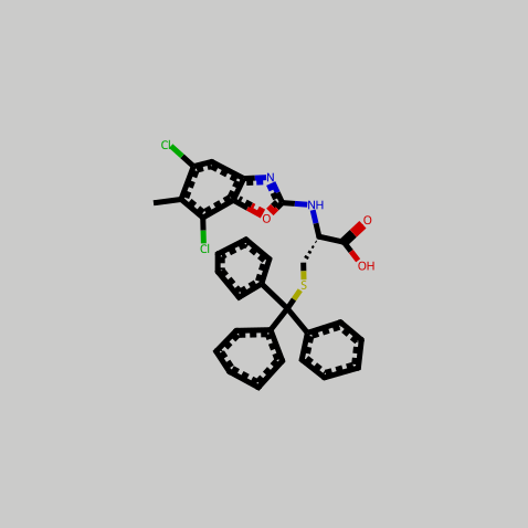 Cc1c(Cl)cc2nc(N[C@@H](CSC(c3ccccc3)(c3ccccc3)c3ccccc3)C(=O)O)oc2c1Cl